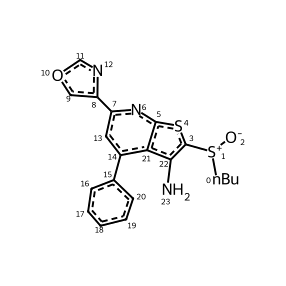 CCCC[S+]([O-])c1sc2nc(-c3cocn3)cc(-c3ccccc3)c2c1N